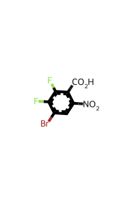 O=C(O)c1c([N+](=O)[O-])cc(Br)c(F)c1F